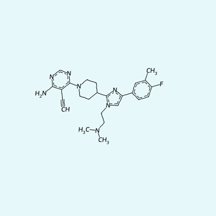 C#Cc1c(N)ncnc1N1CCC(c2nc(-c3ccc(F)c(C)c3)cn2CCN(C)C)CC1